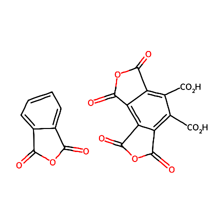 O=C(O)c1c(C(=O)O)c2c(=O)oc(=O)c2c2c(=O)oc(=O)c12.O=C1OC(=O)c2ccccc21